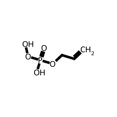 C=CCOP(=O)(O)OO